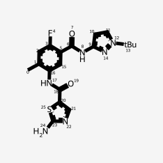 Cc1cc(F)c(C(=O)Nc2ccn(C(C)(C)C)n2)cc1NC(=O)c1cnc(N)s1